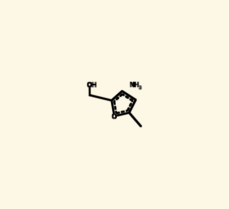 Cc1ccc(CO)o1.N